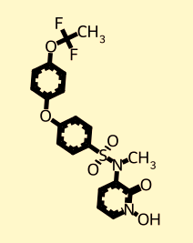 CN(c1cccn(O)c1=O)S(=O)(=O)c1ccc(Oc2ccc(OC(C)(F)F)cc2)cc1